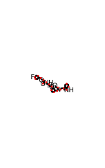 O=C(COCc1ccc(F)cc1)NCCCOc1cccc(CN(CCO)CCc2c[nH]c3ccccc23)c1